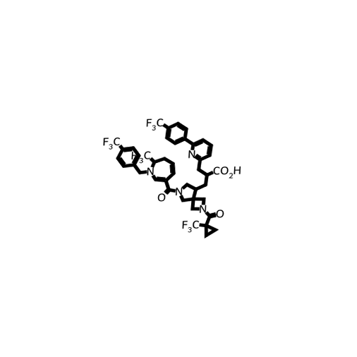 CC1CC=CC(C(=O)N2CC(CC(Cc3cccc(-c4ccc(C(F)(F)F)cc4)n3)C(=O)O)C3(C2)CN(C(=O)C2(C(F)(F)F)CC2)C3)=CN1Cc1ccc(C(F)(F)F)cc1